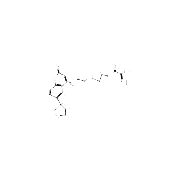 C=C(C)C(=O)OCCOCCOc1cc(=S)oc2ccc(C3CCSC3)cc12